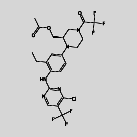 CCc1cc(N2CCN(C(=O)C(F)(F)F)C[C@@H]2COC(C)=O)ccc1Nc1ncc(C(F)(F)F)c(Cl)n1